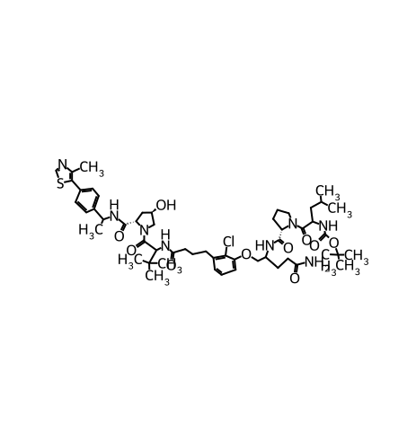 Cc1ncsc1-c1ccc(C(C)NC(=O)[C@@H]2C[C@@H](O)CN2C(=O)C(NC(=O)CCCc2cccc(OCC(CCC(N)=O)NC(=O)[C@@H]3CCCN3C(=O)C(CC(C)C)NC(=O)OC(C)(C)C)c2Cl)C(C)(C)C)cc1